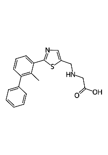 Cc1c(-c2ccccc2)cccc1-c1ncc(CNCC(=O)O)s1